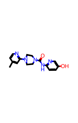 Cc1ccnc(N2CCN(C(=O)Nc3ccc(O)cn3)CC2)c1